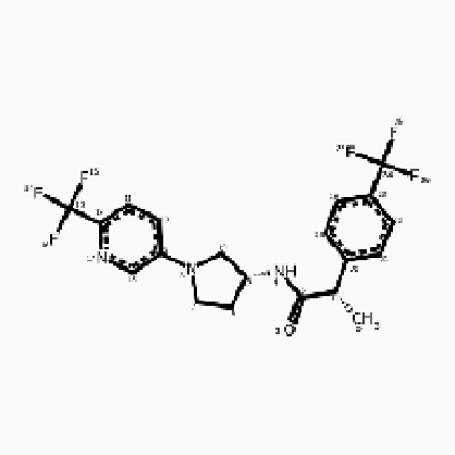 C[C@H](C(=O)N[C@@H]1CCN(c2ccc(C(F)(F)F)nc2)C1)c1ccc(C(F)(F)F)cc1